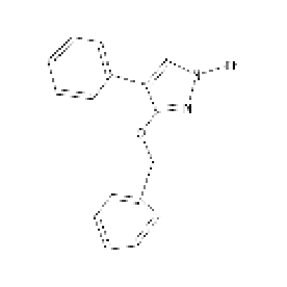 C[CH]n1cc(-c2ccccc2)c(OCc2ccccc2)n1